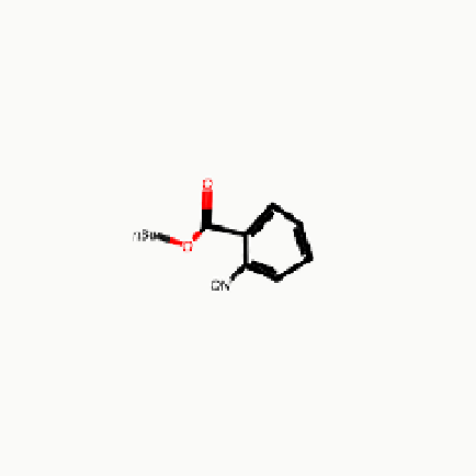 CCCCOC(=O)c1ccccc1N=O